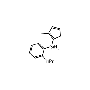 CCCc1ccccc1[SiH2]C1=C(C)C=CC1